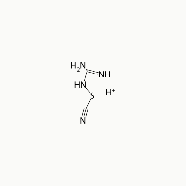 N#CSNC(=N)N.[H+]